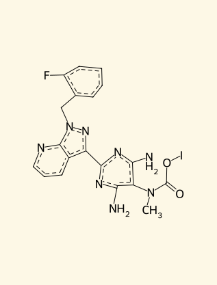 CN(C(=O)OI)c1c(N)nc(-c2nn(Cc3ccccc3F)c3ncccc23)nc1N